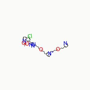 CC(=O)Oc1c(-c2cn(CCCCOCCCc3ccc[n+](CCCCOCCCc4cccnc4)c3)nn2)cc(Cl)c2cccnc12